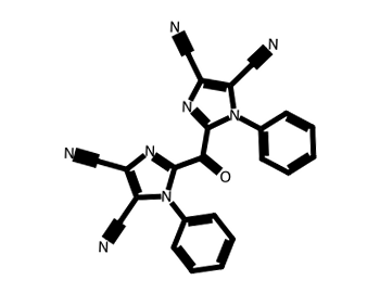 N#Cc1nc(C(=O)c2nc(C#N)c(C#N)n2-c2ccccc2)n(-c2ccccc2)c1C#N